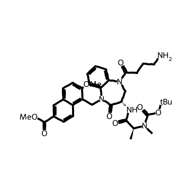 COC(=O)c1ccc2c(CN3C(=O)[C@@H](NC(=O)[C@H](C)N(C)C(=O)OC(C)(C)C)CN(C(=O)CCCN)c4ccccc43)c(OC)ccc2c1